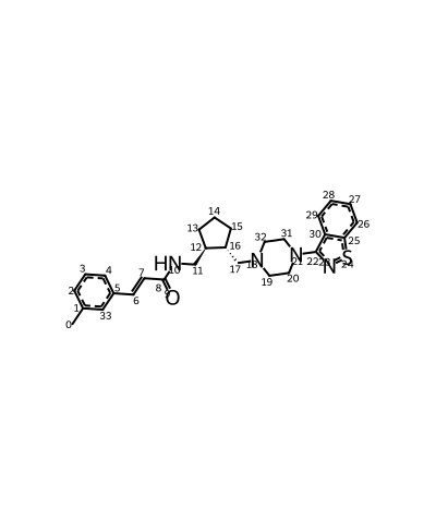 Cc1cccc(/C=C/C(=O)NC[C@H]2CCC[C@@H]2CN2CCN(c3nsc4ccccc34)CC2)c1